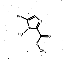 COC(=O)c1ncc(Br)n1C